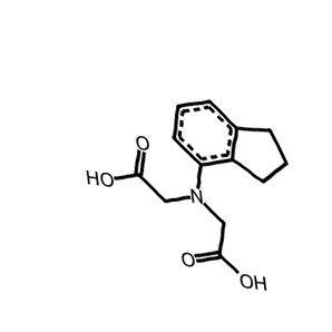 O=C(O)CN(CC(=O)O)c1cccc2c1CCC2